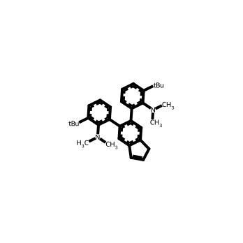 CN(C)c1c(-c2cc3c(cc2-c2cccc(C(C)(C)C)c2N(C)C)CC=C3)cccc1C(C)(C)C